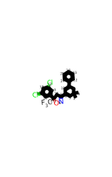 CC1(C)C=C(C2=NO[C@](c3cc(Cl)cc(Cl)c3)(C(F)(F)F)C2)C=C(c2ccccc2)C1